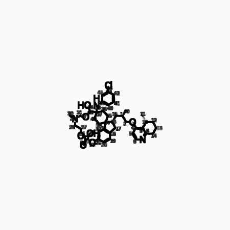 C[C@@H](COc1ccnc2c1[C@H](C)CCC2)C[C@H]1Cc2ccc(OP(=O)(O)OCCN(C)C)cc2C12CCC(Nc1cccc(Cl)c1)(C(=O)O)CC2